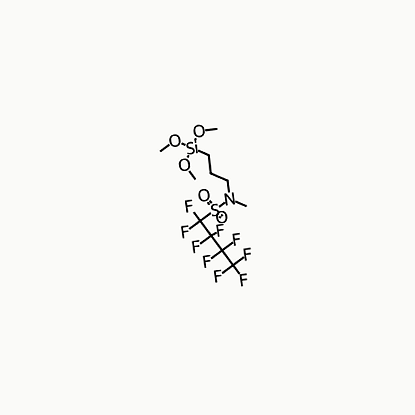 CO[Si](CCCN(C)S(=O)(=O)C(F)(F)C(F)(F)C(F)(F)C(F)(F)F)(OC)OC